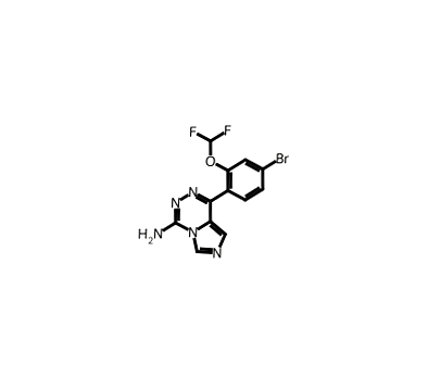 Nc1nnc(-c2ccc(Br)cc2OC(F)F)c2cncn12